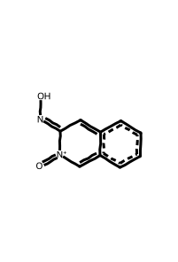 O=[N+]1C=c2ccccc2=CC1=NO